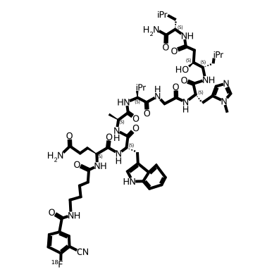 CC(C)C[C@H](NC(=O)C[C@H](O)[C@H](CC(C)C)NC(=O)[C@H](Cc1cncn1C)NC(=O)CNC(=O)[C@@H](NC(=O)[C@H](C)NC(=O)[C@H](Cc1c[nH]c2ccccc12)NC(=O)[C@H](CCC(N)=O)NC(=O)CCCCNC(=O)c1ccc([18F])c(C#N)c1)C(C)C)C(N)=O